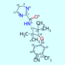 CC1(C)[C@H](NC(=O)C2=NCCC=N2)C(C)(C)[C@H]1Oc1ccc(C#N)c(C(F)(F)F)c1